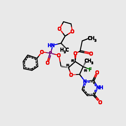 CCC(=O)O[C@@H]1[C@@H](COP(=O)(NC(C)C2OCCO2)Oc2ccccc2)OC(n2ccc(=O)[nH]c2=O)[C@]1(C)F